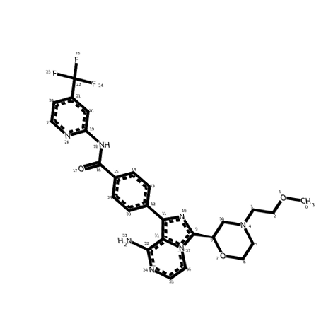 COCCN1CCO[C@@H](c2nc(-c3ccc(C(=O)Nc4cc(C(F)(F)F)ccn4)cc3)c3c(N)nccn23)C1